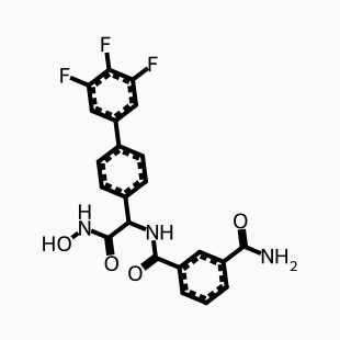 NC(=O)c1cccc(C(=O)NC(C(=O)NO)c2ccc(-c3cc(F)c(F)c(F)c3)cc2)c1